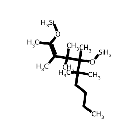 CCCCC(C)(C)C(C)(O[SiH3])C(C)(C)C(C)=C(C)O[SiH3]